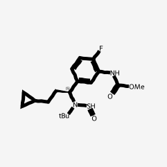 COC(=O)Nc1cc([C@H](CCC2CC2)N([SH]=O)C(C)(C)C)ccc1F